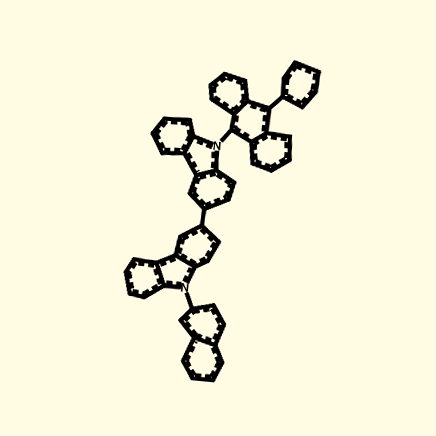 c1ccc(-c2c3ccccc3c(-n3c4ccccc4c4cc(-c5ccc6c(c5)c5ccccc5n6-c5ccc6ccccc6c5)ccc43)c3ccccc23)cc1